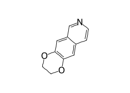 c1cc2cc3c(cc2cn1)OCCO3